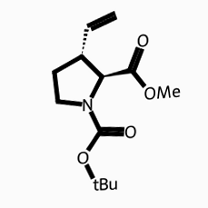 C=C[C@H]1CCN(C(=O)OC(C)(C)C)[C@@H]1C(=O)OC